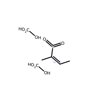 C/C=C(/C)I(=O)=O.O=C(O)O.O=C(O)O